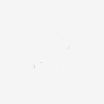 Fc1cc(F)c(C(F)(F)F)c(F)c1C(F)(F)F